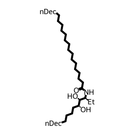 CCCCCCCCCCCCCCCCCCCCCCCCCC(=O)N[C@@H](CC)[C@H](O)[C@H](O)CCCCCCCCCCCCCC